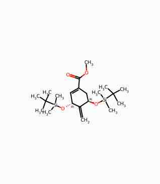 C=C1[C@H](O[Si](C)(C)C(C)(C)C)C=C(C(=O)OC)C[C@H]1O[Si](C)(C)C(C)(C)C